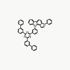 c1ccc(-c2cccc(-c3nc(-c4cccc(-c5ccccc5)c4)nc(-c4cccc(-n5c6ccccc6c6ccc7c(ccn7-c7ccccc7)c65)c4)n3)c2)cc1